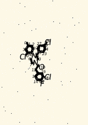 Cc1ccc(N2CCN(C(=O)Cc3ccc(F)c(Cl)c3)CC2c2ccc(Cl)cc2)c(Cl)c1